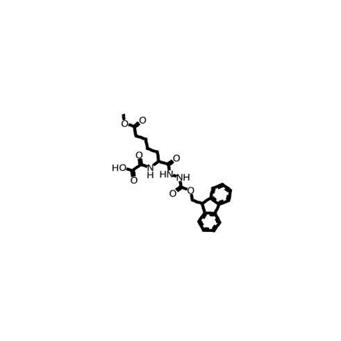 COC(=O)CCCCC(NC(=O)C(=O)O)C(=O)NNC(=O)OCC1c2ccccc2-c2ccccc21